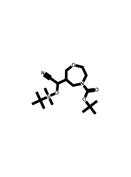 CC(C)(C)OC(=O)N1CCOCC(C(C#N)O[Si](C)(C)C(C)(C)C)C1